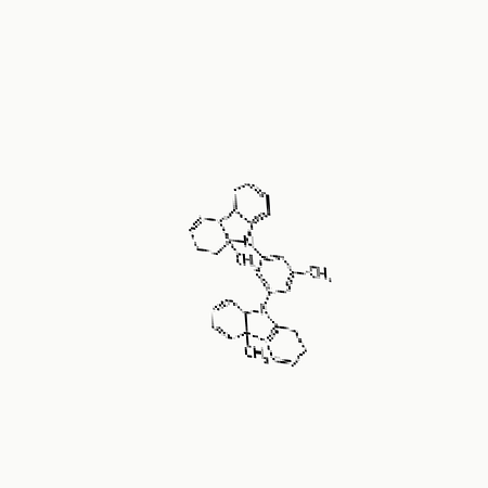 Cc1cc(N2C3=C(C=CCC3)C3(C)C=CC=CC23)cc(N2c3ccccc3C3C=CCCC32C)c1